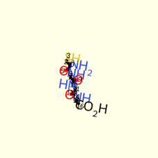 N[C@@H](CS)C(=O)NCC(=O)NCC(=O)NCC(=O)O